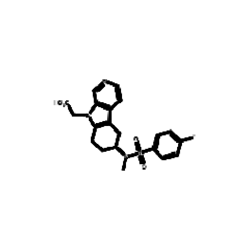 CN(C1CCc2c(c3ccncc3n2CC(=O)O)C1)S(=O)(=O)c1ccc(F)cc1